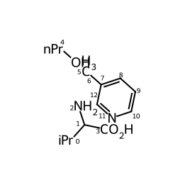 CC(C)C(N)C(=O)O.CCCO.Cc1cccnc1